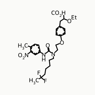 CCOC(Cc1ccc(OCCN(CCCCCC(C)(F)F)C(=O)Nc2ccc(C)c([N+](=O)[O-])c2)cc1)C(=O)O